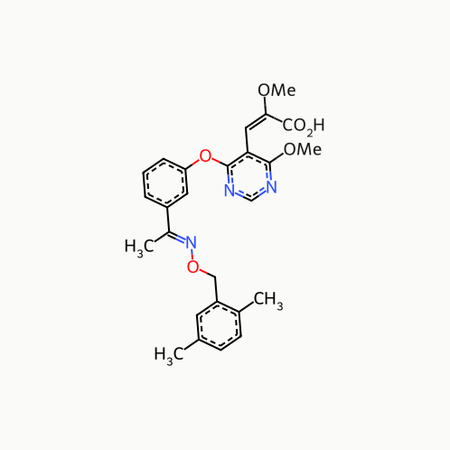 COC(=Cc1c(OC)ncnc1Oc1cccc(C(C)=NOCc2cc(C)ccc2C)c1)C(=O)O